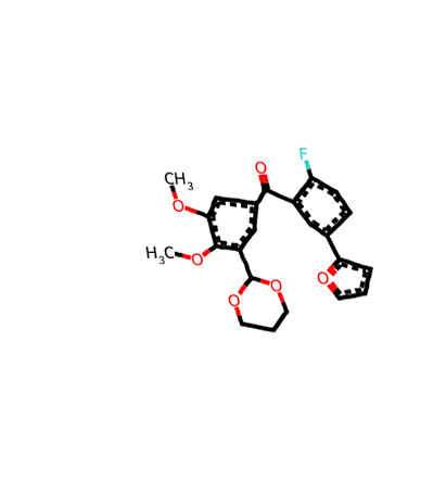 COc1cc(C(=O)c2cc(-c3ccco3)ccc2F)cc(C2OCCCO2)c1OC